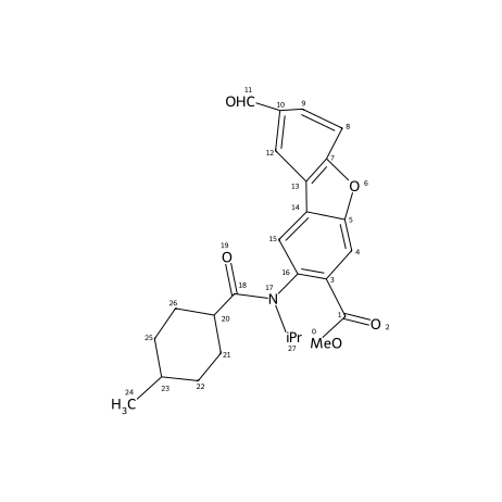 COC(=O)c1cc2oc3ccc(C=O)cc3c2cc1N(C(=O)C1CCC(C)CC1)C(C)C